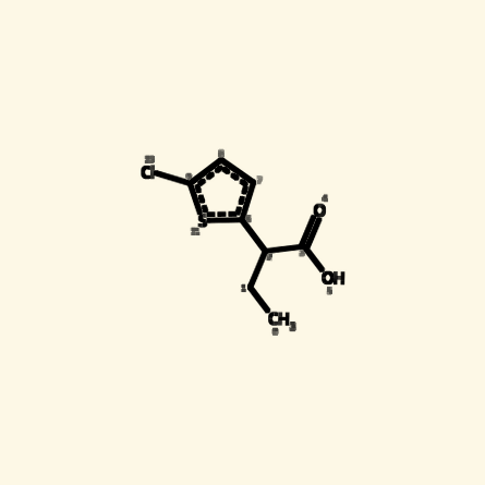 CCC(C(=O)O)c1ccc(Cl)s1